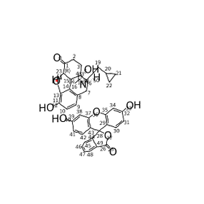 O=C1CC[C@@]2(O)[C@H]3Cc4ccc(O)c5c4[C@@]2(CCN3CC2CC2)[C@H]1O5.O=C1OC2(c3ccc(O)cc3Oc3cc(O)ccc32)c2ccccc21